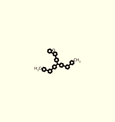 Cc1ccc(-c2cccc(-c3ccc(C(c4ccc(-c5cccc(-c6ccc(C)cc6)c5)cc4)c4ccc(-c5ccc6oc7ccccc7c6c5)cc4)cc3)c2)cc1